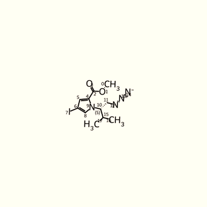 COC(=O)c1cc(I)cn1[C@H](CN=[N+]=[N-])C(C)C